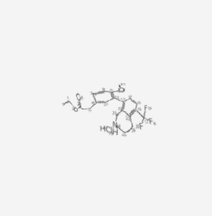 CCOC(=O)Cc1ccc(OC)c(-c2ccc(C(F)(F)F)c3c2CNCC3)c1.Cl